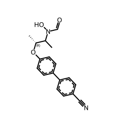 CC([C@@H](C)Oc1ccc(-c2ccc(C#N)cc2)cc1)N(O)C=O